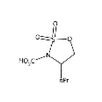 CCCC1COS(=O)(=O)N1C(=O)O